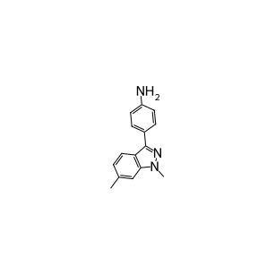 Cc1ccc2c(-c3ccc(N)cc3)nn(C)c2c1